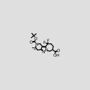 C[C@@H]1Cc2nn3c(c2CN1C(=O)OC(C)(C)C)C(F)(F)CCC(C(=O)O)C3